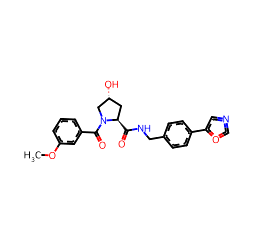 COc1cccc(C(=O)N2C[C@H](O)C[C@H]2C(=O)NCc2ccc(-c3cnco3)cc2)c1